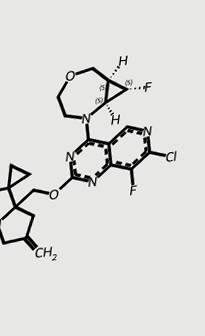 C=C1CN2CCC3(CC3)C2(COc2nc(N3CCOC[C@H]4[C@H](F)[C@H]43)c3cnc(Cl)c(F)c3n2)C1